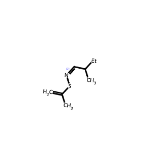 C=C(C)S/N=C\C(C)CC